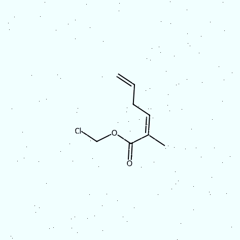 C=CCC=C(C)C(=O)OCCl